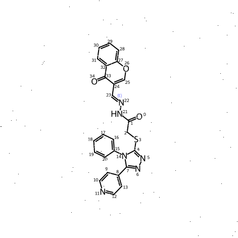 O=C(CSc1nnc(-c2ccncc2)n1-c1ccccc1)N/N=C/c1coc2ccccc2c1=O